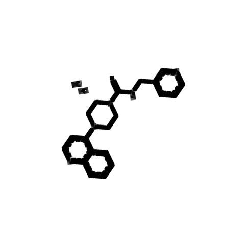 Cl.Cl.S=C(NCc1cccnc1)N1CCN(c2ccnc3ccccc23)CC1